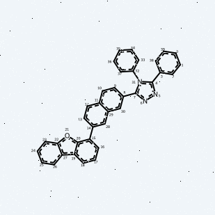 c1ccc(-c2nnc(-c3ccc4ccc(-c5cccc6c5oc5ccccc56)cc4c3)n2-c2ccccc2)cc1